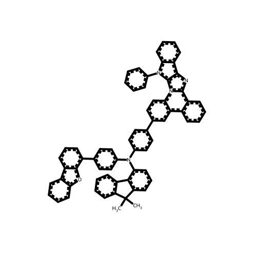 CC1(C)c2ccccc2-c2c(N(c3ccc(-c4ccc5c(c4)c4ccccc4c4nc6c7ccccc7n(-c7ccccc7)c6n54)cc3)c3ccc(-c4cccc5c4oc4ccccc45)cc3)cccc21